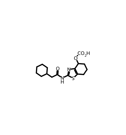 O=C(CC1CCCCC1)Nc1nc2c(s1)CCCC2OC(=O)O